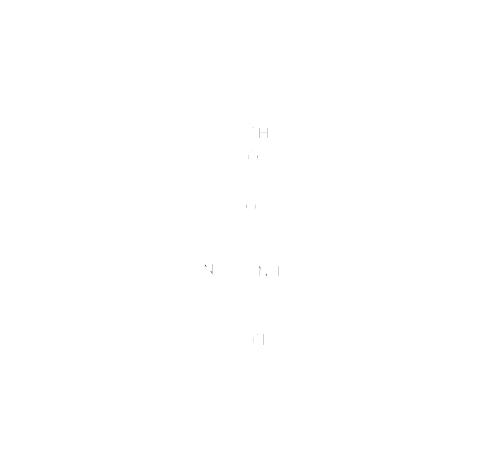 COc1cccc2cc(C3NCc4c(Cl)cccc4-n4cccc43)oc12